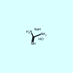 Cl.N=C(N)N.[NaH]